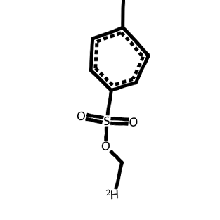 [2H]COS(=O)(=O)c1ccc(C)cc1